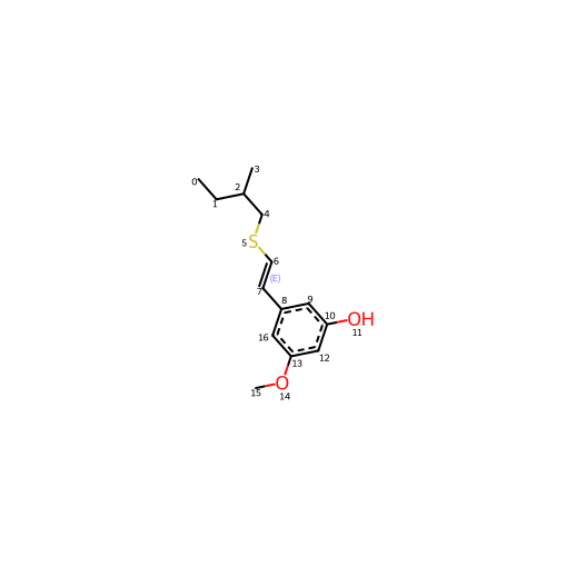 CCC(C)CS/C=C/c1cc(O)cc(OC)c1